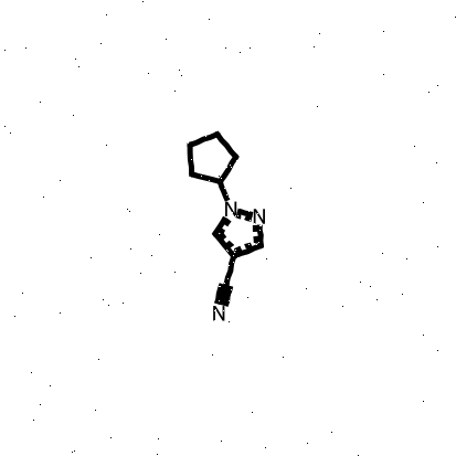 N#Cc1cnn(C2CCCC2)c1